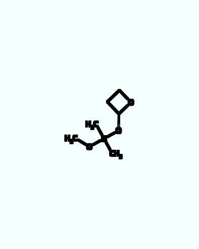 CO[Si](C)(C)OC1CCO1